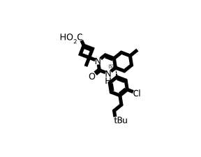 CC1CC[C@@]2(c3ccc(CCC(C)(C)C)c(Cl)c3)NC(=O)N(C3(C)C=C(C(=O)O)C3)C=C2C1